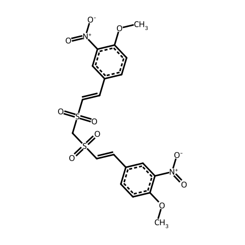 COc1ccc(C=CS(=O)(=O)CS(=O)(=O)C=Cc2ccc(OC)c([N+](=O)[O-])c2)cc1[N+](=O)[O-]